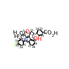 CC1(C)CO[C@]2(C[C@@H](c3ccc(C(=O)O)cc3)C2)c2c1n(-c1ccc(F)cc1)c1cccc(O)c12